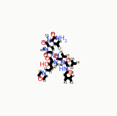 CC[C@H](NC(=O)[C@H]([C@H](O)[C@H](C)CCN1CCOCC1)N(C)C(=O)[C@H](C(C)C)N(C)C(=O)[C@H](CC(C)C)NC(=O)CC(C)C(C)C)C(=O)N(C)CC(=O)N(C)[C@@H](CC(C)C)C(N)=O